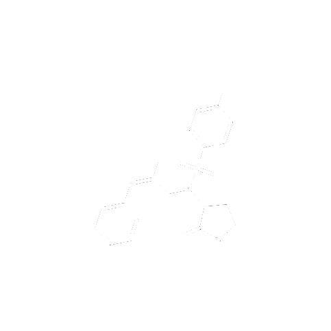 CC(=Cc1ccccc1)CN(C1CCNC1=O)S(=O)(=O)c1ccc(Cl)cc1